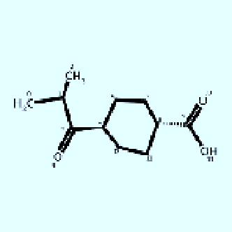 CC(C)C(=O)[C@H]1CC[C@H](C(=O)O)CC1